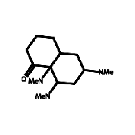 CNC1CC2CCCC(=O)C2(NC)C(NC)C1